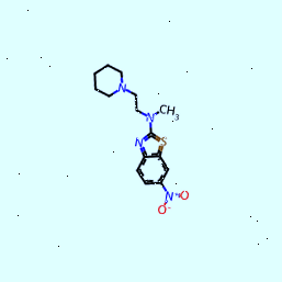 CN(CCN1CCCCC1)c1nc2ccc([N+](=O)[O-])cc2s1